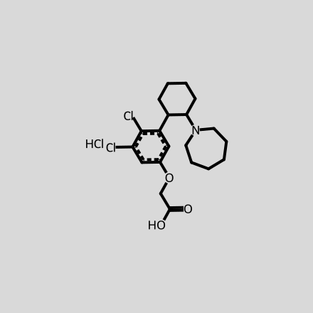 Cl.O=C(O)COc1cc(Cl)c(Cl)c(C2CCCCC2N2CCCCCC2)c1